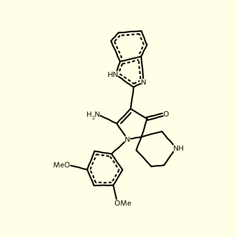 COc1cc(OC)cc(N2C(N)=C(c3nc4ccccc4[nH]3)C(=O)C23CCCNC3)c1